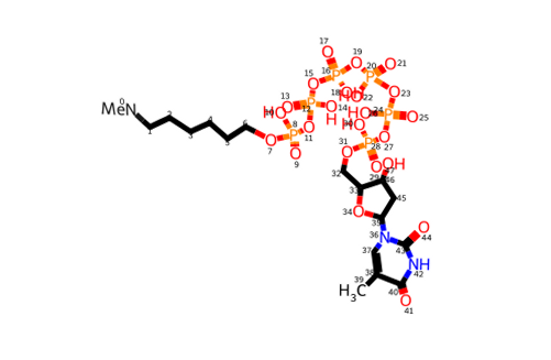 CNCCCCCCOP(=O)(O)OP(=O)(O)OP(=O)(O)OP(=O)(O)OP(=O)(O)OP(=O)(O)OCC1OC(n2cc(C)c(=O)[nH]c2=O)CC1O